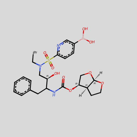 CC(C)CN(C[C@@H](O)C(Cc1ccccc1)NC(=O)O[C@H]1CO[C@H]2OCC[C@H]21)S(=O)(=O)c1ccc(B(O)O)cn1